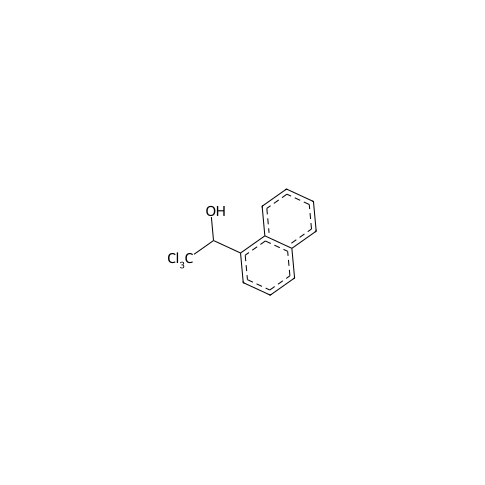 OC(c1cccc2ccccc12)C(Cl)(Cl)Cl